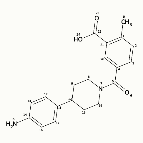 Cc1ccc(C(=O)N2CCC(c3ccc(N)cc3)CC2)cc1C(=O)O